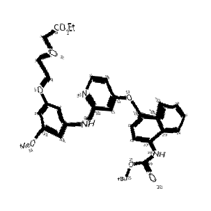 CCOC(=O)COCCOc1cc(Nc2cc(Oc3ccc(NC(=O)OC(C)(C)C)c4ccccc34)ccn2)cc(OC)c1